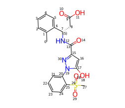 Cc1ccccc1[C@H](CC(=O)O)NC(=O)c1cc(O)n(-c2ccccc2S(C)(=O)=O)n1